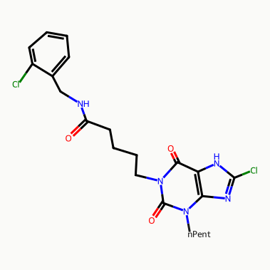 CCCCCn1c(=O)n(CCCCC(=O)NCc2ccccc2Cl)c(=O)c2[nH]c(Cl)nc21